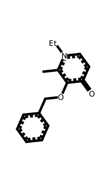 CCn1ccc(=O)c(OCc2ccccc2)c1C